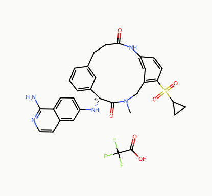 CN1Cc2cc(ccc2S(=O)(=O)C2CC2)NC(=O)CCc2cccc(c2)[C@@H](Nc2ccc3c(N)nccc3c2)C1=O.O=C(O)C(F)(F)F